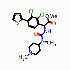 COC(=O)C(NC(=O)N(C)C1CCN(C)CC1)c1ccc(-c2cccs2)c(Cl)c1Cl